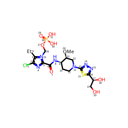 CCc1c(Cl)nc(C(=O)N[C@@H]2CCN(c3nnc([C@@H](O)CO)s3)C[C@@H]2OC)n1COP(=O)(O)O